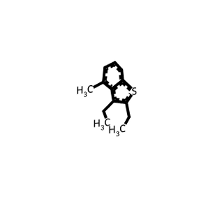 CCc1sc2cccc(C)c2c1CC